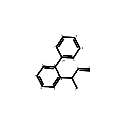 C=CC(C)c1ccccc1-c1ccccc1